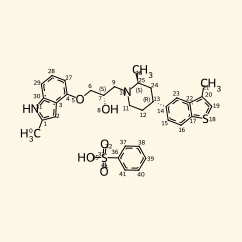 Cc1cc2c(OC[C@@H](O)CN3CC[C@@H](c4ccc5scc(C)c5c4)C[C@@H]3C)cccc2[nH]1.O=S(=O)(O)c1ccccc1